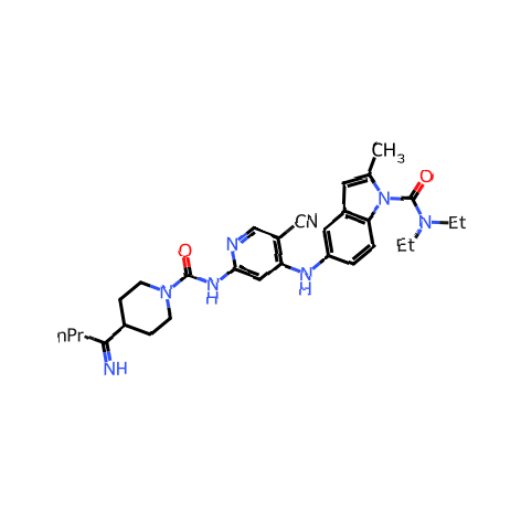 CCCC(=N)C1CCN(C(=O)Nc2cc(Nc3ccc4c(c3)cc(C)n4C(=O)N(CC)CC)c(C#N)cn2)CC1